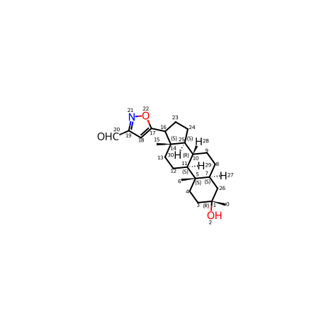 C[C@@]1(O)CC[C@@]2(C)[C@@H](CC[C@@H]3[C@@H]2CC[C@]2(C)C(c4cc(C=O)no4)CC[C@@H]32)C1